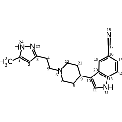 Cc1cc(CCN2CCC(c3c[nH]c4ccc(C#N)cc34)CC2)n[nH]1